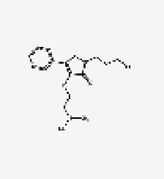 CCCCN1CC(c2ccccc2)=C(OCCN(C)C)C1=O